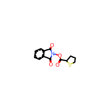 O=C(ON1C(=O)c2ccccc2C1=O)C1CCCS1